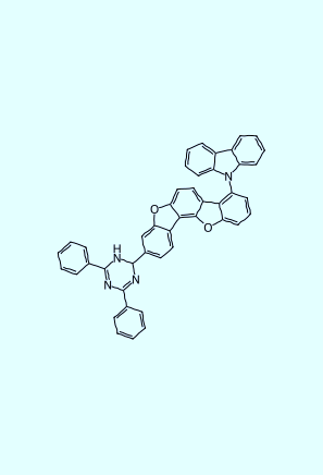 c1ccc(C2=NC(c3ccc4c(c3)oc3ccc5c(oc6cccc(-n7c8ccccc8c8ccccc87)c65)c34)NC(c3ccccc3)=N2)cc1